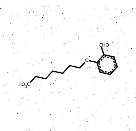 O=Cc1ccccc1OCCCCCCC(=O)O